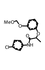 COCOc1cccc(OC(C)C(=O)Nc2ccc(Cl)cc2)c1